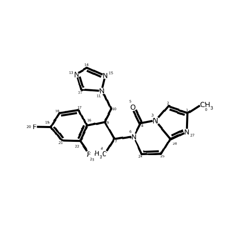 Cc1cn2c(=O)n(C(C)C(Cn3cncn3)c3ccc(F)cc3F)ccc2n1